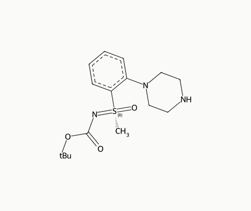 CC(C)(C)OC(=O)N=[S@](C)(=O)c1ccccc1N1CCNCC1